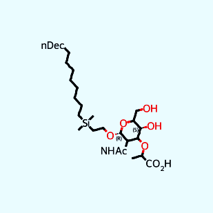 CCCCCCCCCCCCCCCCCC[Si](C)(C)CCO[C@@H]1OC(CO)[C@@H](O)C(OC(C)C(=O)O)C1NC(C)=O